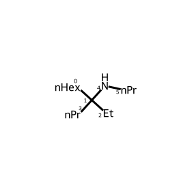 CCCCCCC(CC)(CCC)NCCC